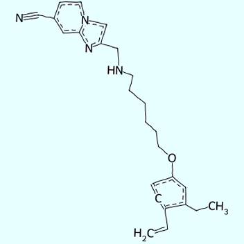 C=Cc1ccc(OCCCCCCNCc2cn3ccc(C#N)cc3n2)cc1CC